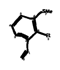 C=Cc1cccc(SC)c1CC